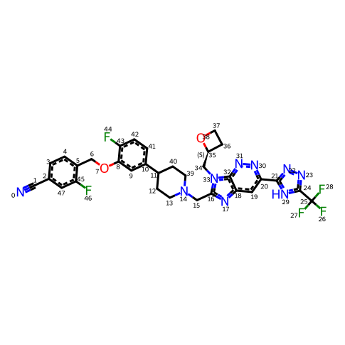 N#Cc1ccc(COc2cc(C3CCN(Cc4nc5cc(-c6nnc(C(F)(F)F)[nH]6)nnc5n4C[C@@H]4CCO4)CC3)ccc2F)c(F)c1